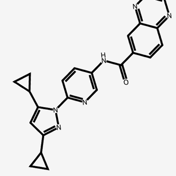 O=C(Nc1ccc(-n2nc(C3CC3)cc2C2CC2)nc1)c1ccc2nccnc2c1